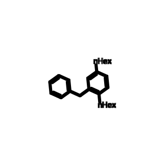 CCCCCCc1ccc(CCCCCC)c(Cc2ccccc2)c1